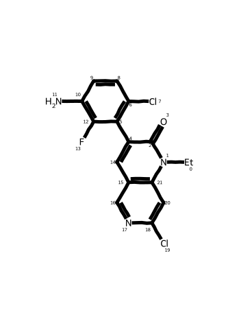 CCn1c(=O)c(-c2c(Cl)ccc(N)c2F)cc2cnc(Cl)cc21